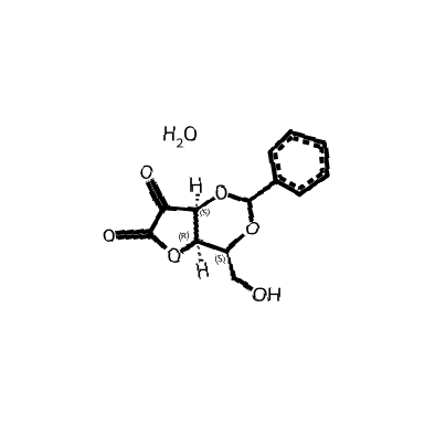 O.O=C1O[C@@H]2[C@H](CO)OC(c3ccccc3)O[C@@H]2C1=O